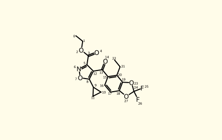 CCOC(=O)c1noc(C2CC2)c1C(=O)c1ccc2c(c1CC)OC(F)(F)O2